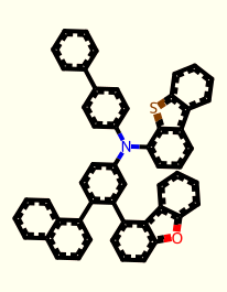 c1ccc(-c2ccc(N(c3ccc(-c4cccc5ccccc45)c(-c4cccc5oc6ccccc6c45)c3)c3cccc4c3sc3ccccc34)cc2)cc1